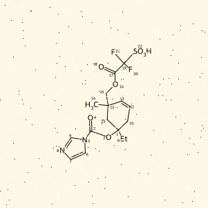 CCC1(OC(=O)n2ccnc2)CC=CC(C)(COC(=O)C(F)(F)S(=O)(=O)O)C1